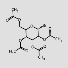 CC(=O)OCC1O[C@@H](Br)C(OC(C)=O)[C@H](OC(C)=O)[C@H]1OC(C)=O